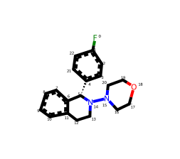 Fc1ccc([C@H]2c3ccccc3CCN2N2C[CH]OCC2)cc1